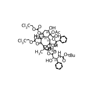 CC(=O)O[C@]1(CO)C2[C@H](OC(=O)c3ccccc3)[C@]3(O)C[C@H](OC(=O)C(O)[C@@H](NC(=O)OC(C)(C)C)c4ccccc4)C(C)=C([C@@H](OC(=O)OCC(Cl)(Cl)Cl)C(=O)[C@]2(C)[C@@H](OC(=O)OCC(Cl)(Cl)Cl)C[C@H]1O)C3(C)C